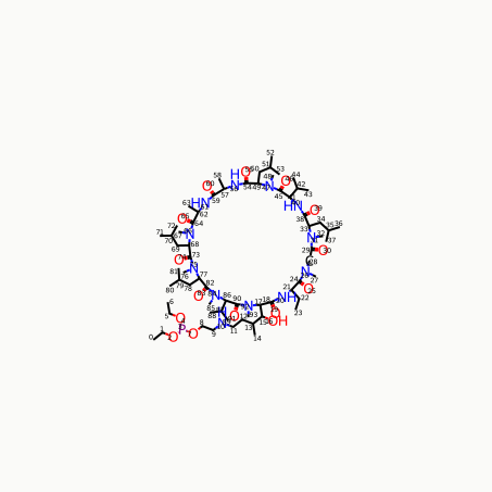 CCOP(OCC)OCCNCCC(C)C(O)C1C(=O)NC(CC)C(=O)N(C)CC(=O)N(C)C(CC(C)C)C(=O)NC(C(C)C)C(=O)N(C)C(CC(C)C)C(=O)NC(C)C(=O)NC(C)C(=O)N(C)C(CC(C)C)C(=O)N(C)C(CC(C)C)C(=O)N(C)C(C(C)C)C(=O)N1C